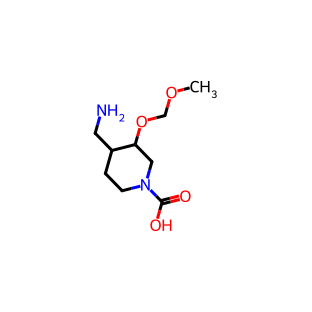 COCOC1CN(C(=O)O)CCC1CN